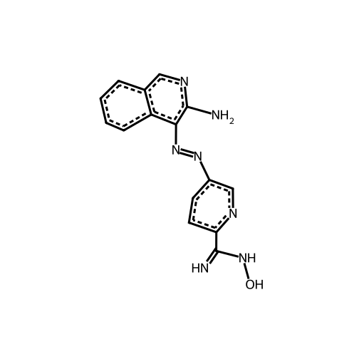 N=C(NO)c1ccc(/N=N/c2c(N)ncc3ccccc23)cn1